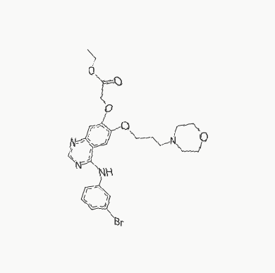 CCOC(=O)COc1cc2ncnc(Nc3cccc(Br)c3)c2cc1OCCCN1CCOCC1